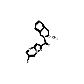 C[C@H]1Cc2ccccc2CN1C(=O)c1cc2ncc(Br)cn2n1